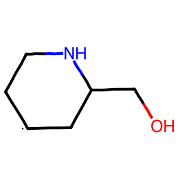 OCC1C[CH]CCN1